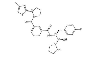 Cc1csc([C@H]2CCCN2C(=O)c2cccc(C(=O)N[C@@H](Cc3ccc(F)cc3)[C@@H](O)[C@H]3CCCN3)c2)n1